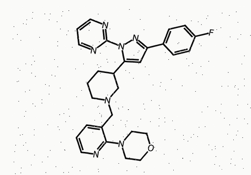 Fc1ccc(-c2cc(C3CCCN(Cc4cccnc4N4CCOCC4)C3)n(-c3ncccn3)n2)cc1